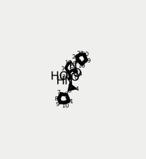 O=C(N[C@H]1C[C@@H]1c1ccccc1)[C@@]1(O)CCN(c2ccccc2)C1=O